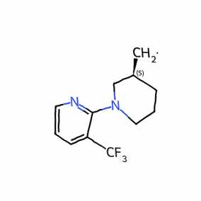 [CH2][C@H]1CCCN(c2ncccc2C(F)(F)F)C1